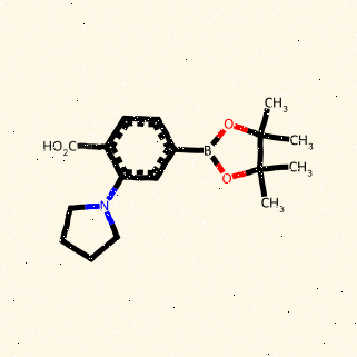 CC1(C)OB(c2ccc(C(=O)O)c(N3CCCC3)c2)OC1(C)C